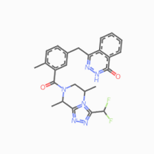 Cc1ccc(Cc2n[nH]c(=O)c3ccccc23)cc1C(=O)N1CC(C)n2c(C(F)F)nnc2C1C